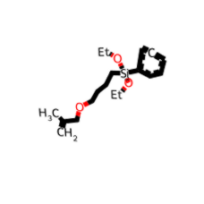 C=C(C)COCCCC[Si](OCC)(OCC)c1ccccc1